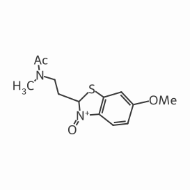 COc1ccc2c(c1)SC(CCN(C)C(C)=O)[N+]2=O